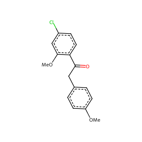 COc1ccc(CC(=O)c2ccc(Cl)cc2OC)cc1